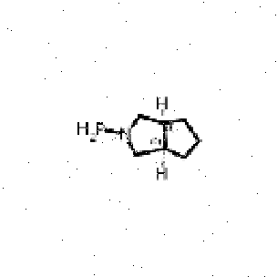 PN1C[C@H]2CCC[C@H]2C1